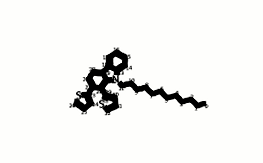 CCCCCCCCCCCCn1c2ccccc2c2ccc(-c3cccs3)c(-c3cccs3)c21